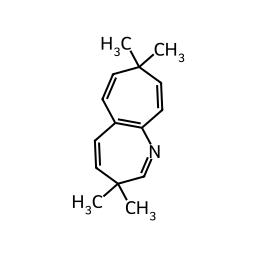 CC1(C)C=CC2=C(C=C1)N=CC(C)(C)C=C2